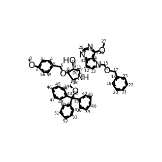 COc1ccc(CO[C@H]2[C@@H](O)[C@H](c3cn(COCc4ccccc4)c4c(OC)ncnc34)N[C@@H]2COC(c2ccccc2)(c2ccccc2)c2ccccc2)cc1